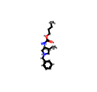 CCCCOC(=O)N[C@H]1CN(Cc2ccccc2)C[C@@H]1C